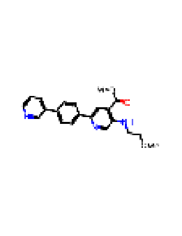 COCCNc1cnc(-c2ccc(-c3cccnc3)cc2)cc1C(=O)OC